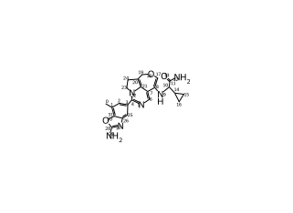 Cc1cc(C2=NC=C3C(NC(C(N)=O)C4CC4)=COCC4=C3N2CC4)cc2nc(N)oc12